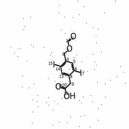 O=COCc1cc(I)c(CC(=O)O)cc1I